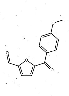 COc1ccc(C(=O)c2ccc(C=O)o2)cc1